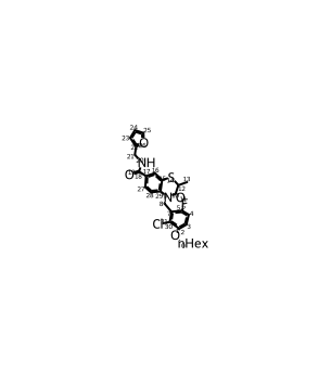 CCCCCCOc1ccc(F)c(CN2C(=O)C(C)Sc3cc(C(=O)NCc4ccco4)ccc32)c1Cl